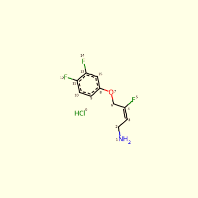 Cl.NC/C=C(/F)COc1ccc(F)c(F)c1